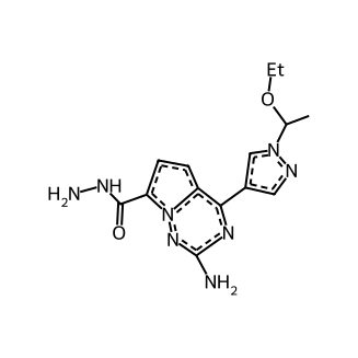 CCOC(C)n1cc(-c2nc(N)nn3c(C(=O)NN)ccc23)cn1